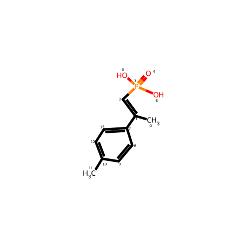 CC(=CP(=O)(O)O)c1ccc(C)cc1